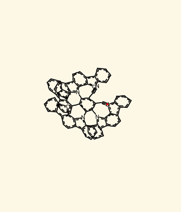 N#Cc1c(C#N)c(-n2c3ccccc3c3ccc4c5ccccc5oc4c32)c(-n2c3ccccc3c3ccc4c5ccccc5oc4c32)c(-c2cccc3c2sc2ccccc23)c1-n1c2ccccc2c2ccc3c4ccccc4oc3c21